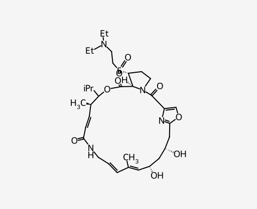 CCN(CC)CCS(=O)(=O)[C@@H]1CCN2C(=O)c3coc(n3)C[C@H](O)C[C@H](O)/C=C(C)/C=C/CNC(=O)/C=C/[C@@H](C)C(C(C)C)OC(=O)[C@@H]12